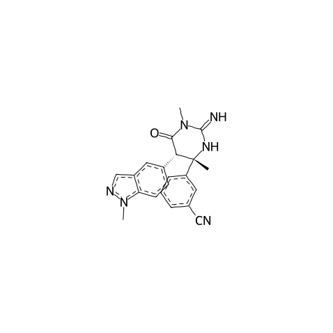 CN1C(=N)N[C@](C)(c2cccc(C#N)c2)[C@H](c2ccc3c(cnn3C)c2)C1=O